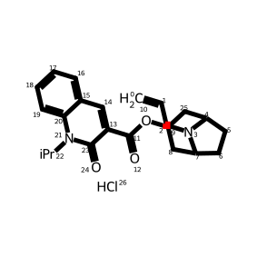 C=CCN1C2CCC1CC(OC(=O)c1cc3ccccc3n(C(C)C)c1=O)C2.Cl